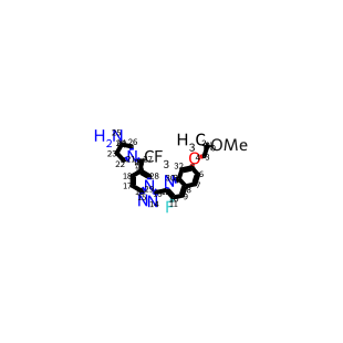 CO[C@H](C)COc1ccc2cc(F)c(-c3nnc4ccc([C@@H](N5CC[C@H](N)C5)C(F)(F)F)cn34)nc2c1